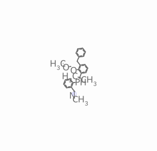 C/N=C/c1ccccc1PC(C)(C)c1cccc(Cc2ccccc2)c1OCOC